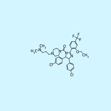 CCOc1cc(C(F)(F)F)ccc1C1=NC(c2ccc(Cl)cc2)C(c2ccc(Cl)cc2)N1C(=O)N1CCN(CCCN(C)C)CC1